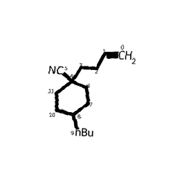 C=CCCC1(C#N)[CH]CC(CCCC)CC1